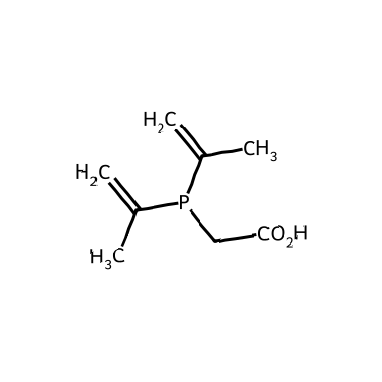 C=C(C)P(CC(=O)O)C(=C)C